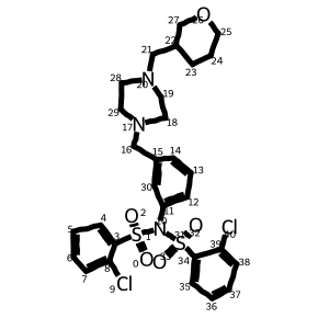 O=S(=O)(c1ccccc1Cl)N(c1cccc(CN2CCN(CC3CCCOC3)CC2)c1)S(=O)(=O)c1ccccc1Cl